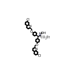 CCOC(=O)/C(=N\O)C(c1ccc(OCc2ccc3ccc(Cl)cc3n2)cc1)c1ccc(OCc2ccc3ccc(Cl)cc3n2)cc1